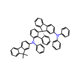 CC1(C)c2ccccc2-c2ccc(N(c3ccccc3)c3cccc4c3-c3ccccc3[C@@]43c4ccccc4-c4ccc(N(c5ccccc5)c5ccccc5)cc43)cc21